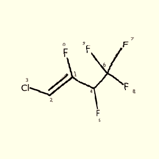 FC(=CCl)C(F)C(F)(F)F